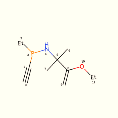 C#CP(CC)NC(C)(C)C(=C)OCC